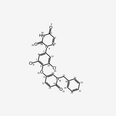 O=c1cnn(-c2cc(Cl)c(Oc3ccc(=O)n(Cc4ccccc4)c3)c(Cl)c2)c(=O)[nH]1